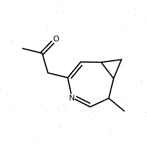 CC(=O)CC1=CC2CC2C(C)C=N1